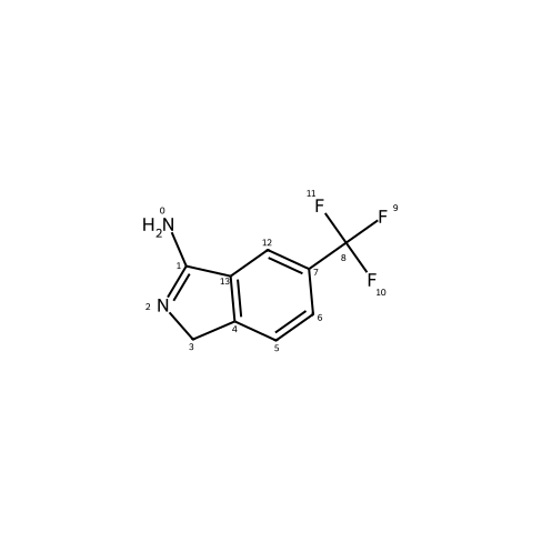 NC1=NCc2ccc(C(F)(F)F)cc21